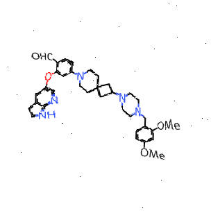 COc1ccc(CN2CCN(C3CC4(CCN(c5ccc(C=O)c(Oc6cnc7[nH]ccc7c6)c5)CC4)C3)CC2)c(OC)c1